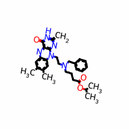 C=c1nc2c(c(=O)[nH]1)=Nc1cc(C)c(C)cc1N2CCN(CCCC(=O)OC(C)C)Cc1ccccc1